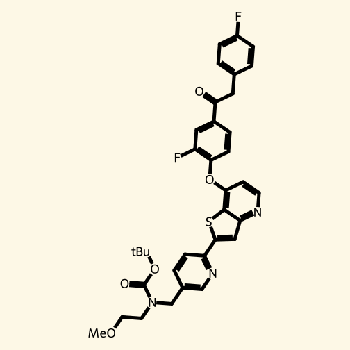 COCCN(Cc1ccc(-c2cc3nccc(Oc4ccc(C(=O)Cc5ccc(F)cc5)cc4F)c3s2)nc1)C(=O)OC(C)(C)C